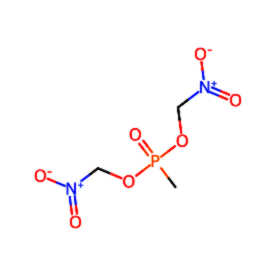 CP(=O)(OC[N+](=O)[O-])OC[N+](=O)[O-]